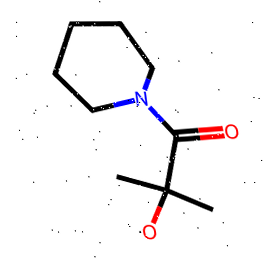 CC(C)([O])C(=O)N1CCCCC1